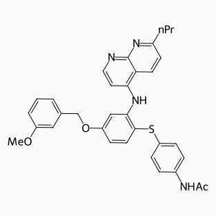 CCCc1ccc2c(Nc3cc(OCc4cccc(OC)c4)ccc3Sc3ccc(NC(C)=O)cc3)ccnc2n1